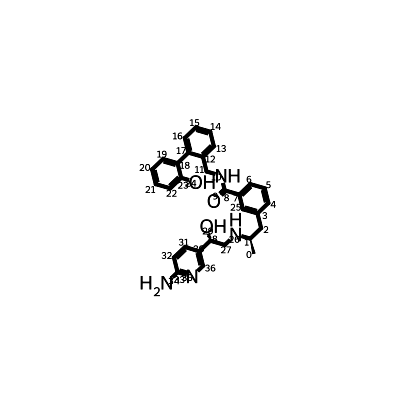 C[C@H](Cc1cccc(C(=O)NCc2ccccc2-c2ccccc2O)c1)NC[C@H](O)c1ccc(N)nc1